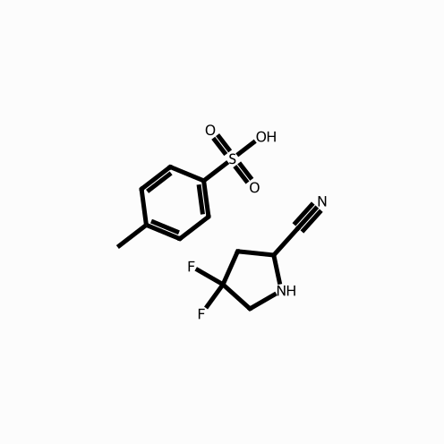 Cc1ccc(S(=O)(=O)O)cc1.N#CC1CC(F)(F)CN1